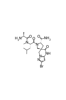 CC(C)C[C@@H](C(=O)N1C[C@]2(C[C@H]1C(N)=O)Cn1nc(Br)cc1NC2=O)N(C)C(=O)[C@H](C)N